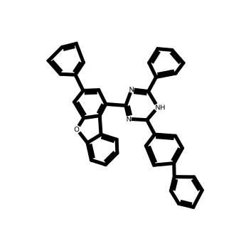 c1ccc(C2=NC(c3cc(-c4ccccc4)cc4oc5ccccc5c34)=NC(c3ccc(-c4ccccc4)cc3)N2)cc1